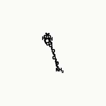 CC1(C)O[C@@H]2[C@@H](CCO[C@]2(C)COCCOCCOCCOCCN)O1